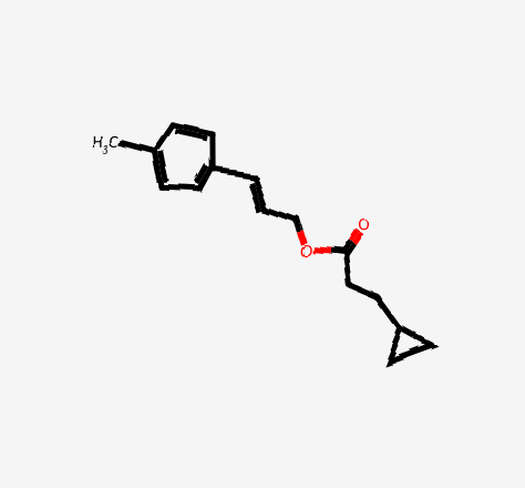 Cc1ccc(C=CCOC(=O)CCC2CC2)cc1